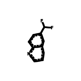 FC(F)c1ccc2ncccc2c1